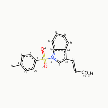 Cc1ccc(S(=O)(=O)n2cc(C=CC(=O)O)c3ccccc32)cc1